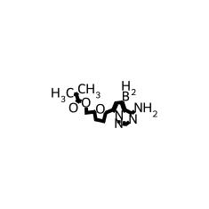 Bc1cc(C2CCC(COC(=O)C(C)C)O2)n2ncnc(N)c12